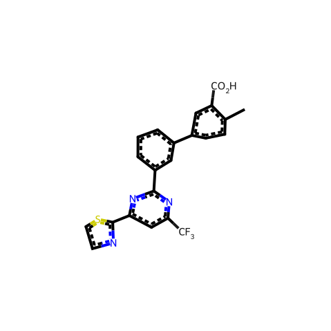 Cc1ccc(-c2cccc(-c3nc(-c4nccs4)cc(C(F)(F)F)n3)c2)cc1C(=O)O